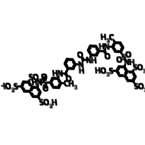 Cc1ccc(S(=O)(=O)Nc2cc(S(=O)(=O)O)cc3cc(S(=O)(=O)O)cc(S(=O)(=O)O)c23)cc1NC(=O)c1cccc(NC(=O)Nc2cccc(C(=O)Nc3cc(S(=O)(=O)Nc4cc(S(=O)(=O)O)cc5cc(S(=O)(=O)O)cc(S(=O)(=O)O)c45)ccc3C)c2)c1